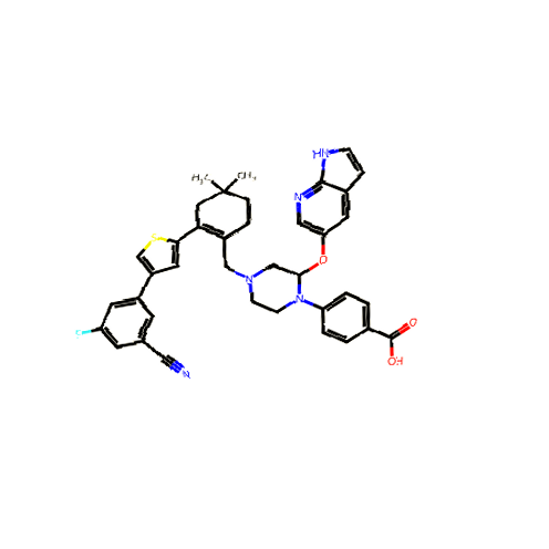 CC1(C)CCC(CN2CCN(c3ccc(C(=O)O)cc3)C(Oc3cnc4[nH]ccc4c3)C2)=C(c2cc(-c3cc(F)cc(C#N)c3)cs2)C1